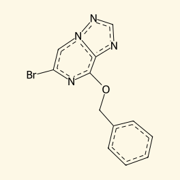 Brc1cn2ncnc2c(OCc2ccccc2)n1